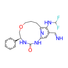 N=Cc1cc2nc(c1NC(F)F)CCCOC[C@H](c1ccccc1)NC(=O)N2